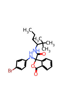 CCCC(NC(=O)C1(Nc2ccc(Br)cc2)OC(=O)c2ccccc21)C(C)(C)C